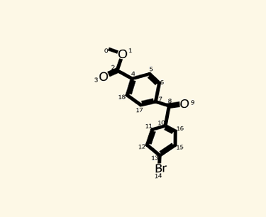 COC(=O)c1ccc(C(=O)c2ccc(Br)cc2)cc1